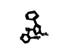 Cn1cc(-c2ccccc2)c(Nc2cnccc2C(=O)O)n1